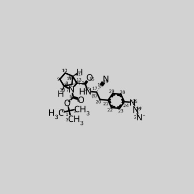 CC(C)(C)OC(=O)N1[C@@H]2CC[C@@H](C2)[C@H]1C(=O)N[C@H](C#N)Cc1ccc(N=[N+]=[N-])cc1